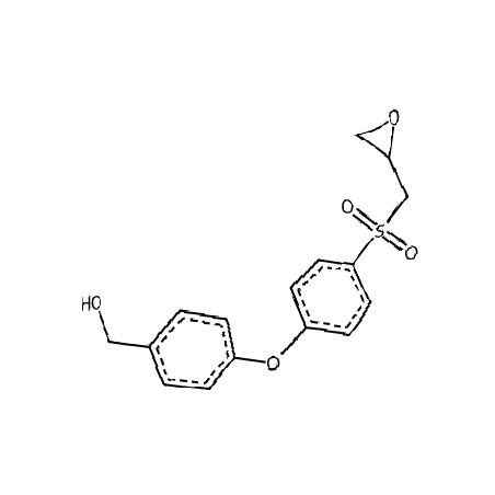 O=S(=O)(CC1CO1)c1ccc(Oc2ccc(CO)cc2)cc1